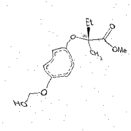 CC[C@@](C)(Oc1ccc(OCO)cc1)C(=O)OC